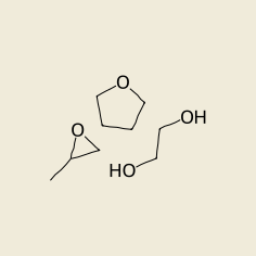 C1CCOC1.CC1CO1.OCCO